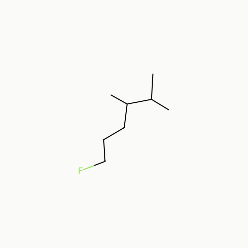 CC(C)C(C)CCCF